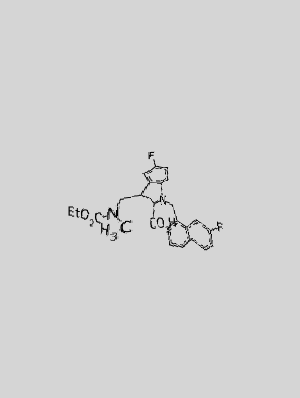 CCOC(=O)N(C)CC1c2cc(F)ccc2N(Cc2cccc3ccc(F)cc23)C1C(=O)O